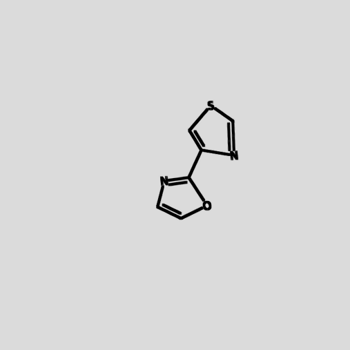 c1coc(-c2cscn2)n1